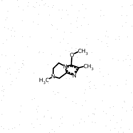 COc1c(C)nc2n1CCN(C)C2